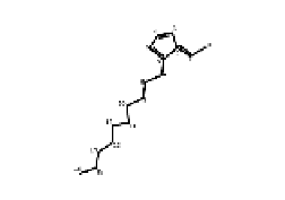 CC=C1C=CC=C1CCCCCCCCCC